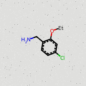 CCOc1cc(Cl)ccc1CN